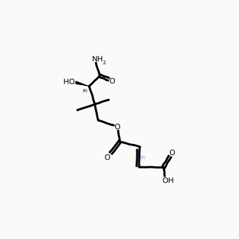 CC(C)(COC(=O)/C=C/C(=O)O)[C@@H](O)C(N)=O